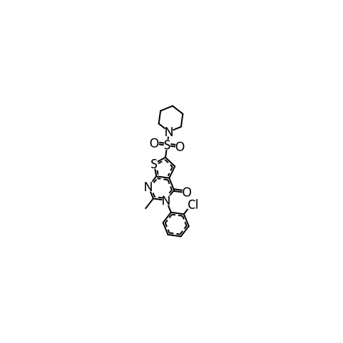 Cc1nc2sc(S(=O)(=O)N3CCCCC3)cc2c(=O)n1-c1ccccc1Cl